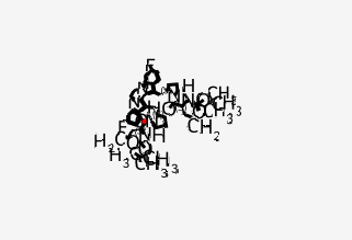 C=CC[C@H](NC(=O)OC(C)(C)C)C(=O)N1CCC[C@H]1Cc1c2n(c3cc(F)ccc13)CCn1c-2c(C[C@@H]2CCCN2C(O)[C@H](CC=C)NC(=O)OC(C)(C)C)c2ccc(F)cc21